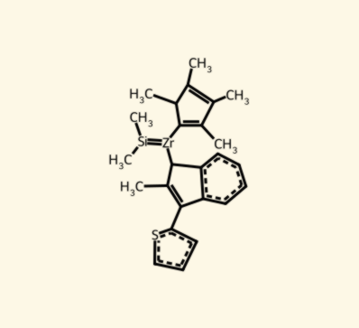 CC1=C(C)C(C)[C]([Zr]([CH]2C(C)=C(c3cccs3)c3ccccc32)=[Si](C)C)=C1C